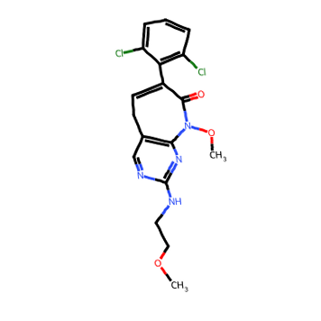 COCCNc1ncc2c(n1)N(OC)C(=O)C(c1c(Cl)cccc1Cl)=CC2